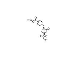 CC(C)(C)OC(=O)N1CCC(CN2CCN(S(=O)(=O)CCl)CC2=O)CC1